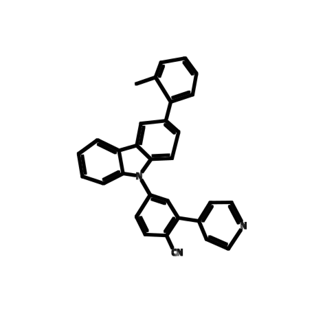 Cc1ccccc1-c1ccc2c(c1)c1ccccc1n2-c1ccc(C#N)c(-c2ccncc2)c1